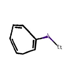 CC[I]c1ccccc1